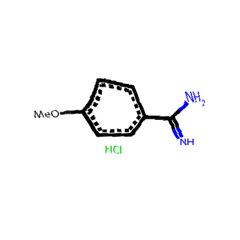 COc1ccc(C(=N)N)cc1.Cl